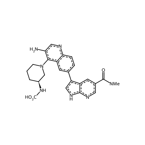 CNC(=O)c1cnc2[nH]cc(-c3ccc4ncc(N)c(N5CCC[C@H](NC(=O)O)C5)c4c3)c2c1